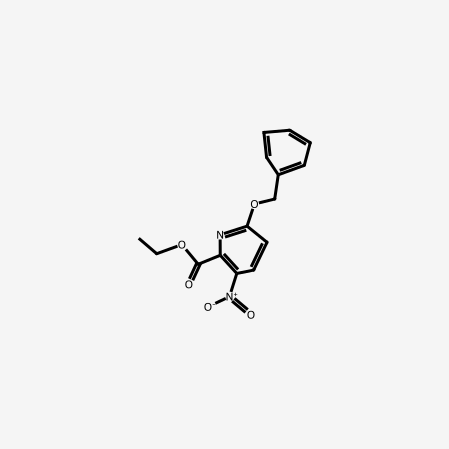 CCOC(=O)c1nc(OCc2ccccc2)ccc1[N+](=O)[O-]